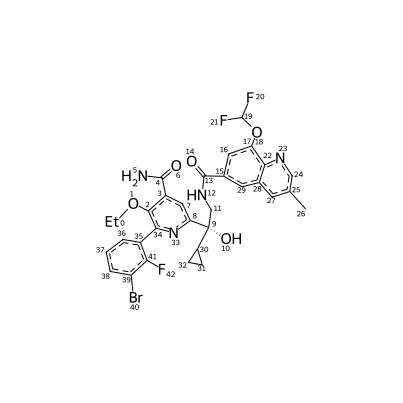 CCOc1c(C(N)=O)cc([C@@](O)(CNC(=O)c2cc(OC(F)F)c3ncc(C)cc3c2)C2CC2)nc1-c1cccc(Br)c1F